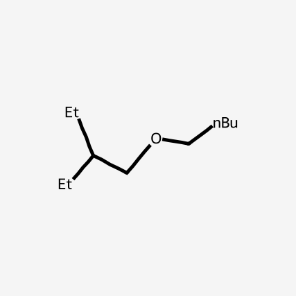 [CH2]CCCCOCC(CC)CC